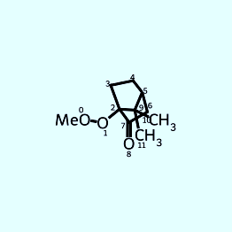 COOC12CCC(CC1=O)C2(C)C